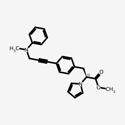 COC(=O)[C@H](Cc1ccc(C#CCN(C)c2ccccc2)cc1)n1cccc1